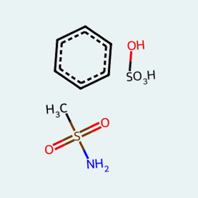 CS(N)(=O)=O.O=S(=O)(O)O.c1ccccc1